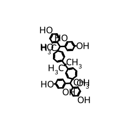 CC(C)(C1=CC=CC(C)(C(C2=C(O)C=C(O)CC2)c2ccc(O)cc2O)C=C1)C1=CC=CC(C)(C(c2ccc(O)cc2O)c2ccc(O)cc2O)C=C1